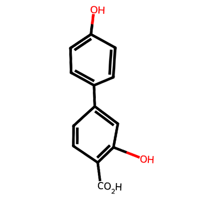 O=C(O)c1ccc(-c2ccc(O)cc2)cc1O